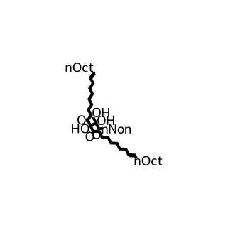 CCCCCCCCC=CCCCCCCCC(=O)C(O)(C(=O)CCCCCCCC=CCCCCCCCC)C(O)(CO)C(=O)CCCCCCCCC